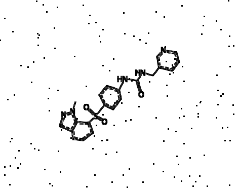 Cn1ncc2cccc(S(=O)(=O)c3ccc(NC(=O)NCc4cccnc4)cc3)c21